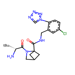 CC(C)(C)[C@@H](N)C(=O)N1CC2CC1(C(=O)NCc1cc(Cl)ccc1-n1cnnn1)C2